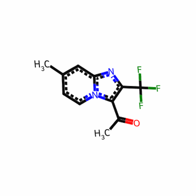 CC(=O)c1c(C(F)(F)F)nc2cc(C)ccn12